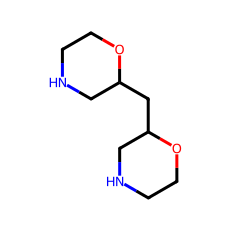 C1COC(CC2CNCCO2)CN1